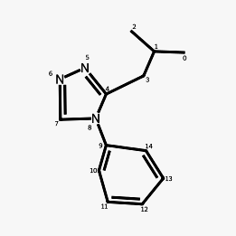 CC(C)Cc1nncn1-c1ccccc1